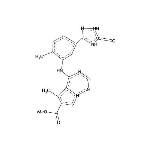 COC(=O)c1cn2ncnc(Nc3cc(-c4n[nH]c(=O)[nH]4)ccc3C)c2c1C